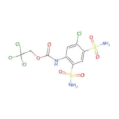 NS(=O)(=O)c1cc(S(N)(=O)=O)c(NC(=O)OCC(Cl)(Cl)Cl)cc1Cl